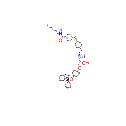 CCCCCCNC(=O)N1CCC(Sc2ccc(CCNC[C@H](O)COc3ccc(O[Si](c4ccccc4)(c4ccccc4)C(C)(C)C)cc3)cc2)CC1